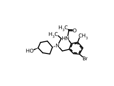 CCN(Cc1cc(Br)cc(C)c1NC(C)=O)[C@H]1CC[C@H](O)CC1